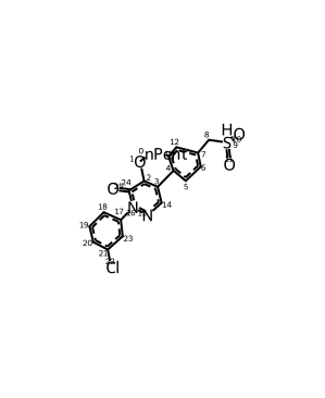 CCCCCOc1c(-c2ccc(C[SH](=O)=O)cc2)cnn(-c2cccc(Cl)c2)c1=O